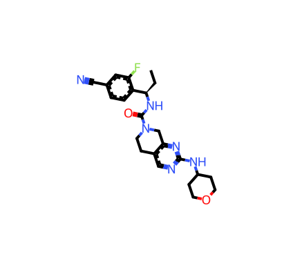 CC[C@@H](NC(=O)N1CCc2cnc(NC3CCOCC3)nc2C1)c1ccc(C#N)cc1F